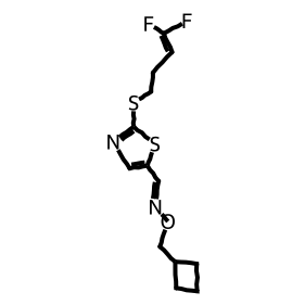 FC(F)=CCCSc1ncc(/C=N/OCC2CCC2)s1